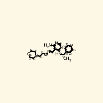 C[C@H](Nc1ncnc(N)c1C=NOCCN1CCOCC1)c1ccccc1